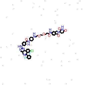 O=C1CCC(N2Cc3cc(NC(=O)CCOCCOCCNC4CCC(NC(=O)c5ccc(Nc6ncc7c(n6)-c6ccc(Cl)cc6C(c6c(F)cccc6F)=NC7)cc5)CC4)ccc3C2=O)C(=O)N1